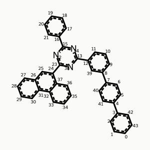 c1ccc(-c2ccc(-c3cccc(-c4nc(-c5ccccc5)nc(-c5cc6ccccc6c6ccccc56)n4)c3)cc2)cc1